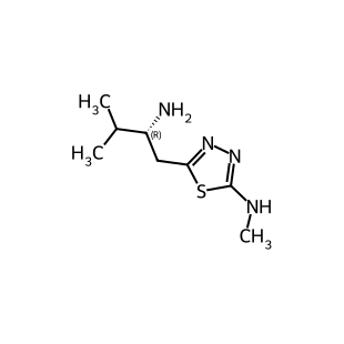 CNc1nnc(C[C@@H](N)C(C)C)s1